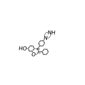 Oc1ccc2c(c1)OC[C@H](c1ccccc1)[C@@H]2c1ccc(N2CCNCC2)cc1